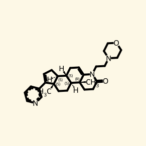 C[C@]12CCC(=O)N(CCN3CCOCC3)C1=CC[C@@H]1[C@@H]2CC[C@]2(C)C(c3cccnc3)=CC[C@@H]12